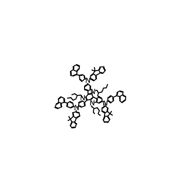 CCCCC(CC)Cn1c2cc(N(c3ccc(-c4cccc5ccccc45)cc3)c3ccc4c(c3)C(C)(C)c3ccccc3-4)ccc2c2c1c1c3ccc(N(c4ccc(-c5cccc6ccccc56)cc4)c4ccc5c(c4)C(C)(C)c4ccccc4-5)cc3n(CC(CC)CCCC)c1c1c3ccc(N(c4ccc(-c5cccc6ccccc56)cc4)c4ccc5c(c4)C(C)(C)c4ccccc4-5)cc3n(CC(CC)CCCC)c21